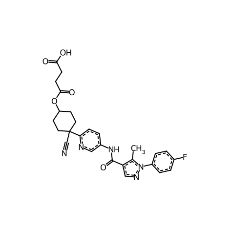 Cc1c(C(=O)Nc2ccc(C3(C#N)CCC(OC(=O)CCC(=O)O)CC3)nc2)cnn1-c1ccc(F)cc1